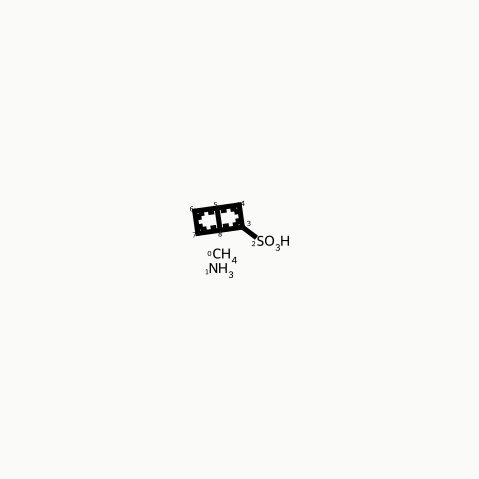 C.N.O=S(=O)(O)c1cc2ccc1-2